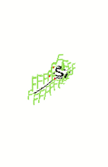 FC(F)(F)C(F)(F)C(F)(F)C(F)(F)C(F)(F)C(F)(F)[Si](C(F)(F)F)(C(F)(F)F)C(F)(F)F